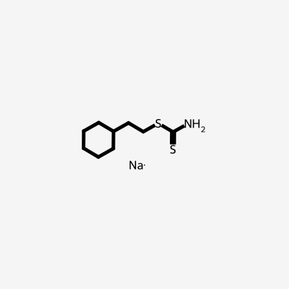 NC(=S)SCCC1CCCCC1.[Na]